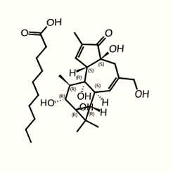 CC1=C[C@H]2[C@]3(O)[C@H](C)[C@@H](O)[C@@]4(O)[C@H]([C@@H]3C=C(CO)C[C@@]2(O)C1=O)C4(C)C.CCCCCCCCCC(=O)O